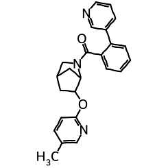 Cc1ccc(OC2CC3CC2N(C(=O)c2ccccc2-c2cccnc2)C3)nc1